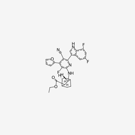 CCOC(=O)[C@@H]1C2CCC(CC2)[C@H]1Nc1nc(-c2c[nH]c3c(F)cc(F)cc23)c(C#N)c(-c2ccco2)c1F